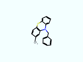 FC(F)(F)c1ccc2c(c1)N(Cc1ccccc1)c1ccccc1S2